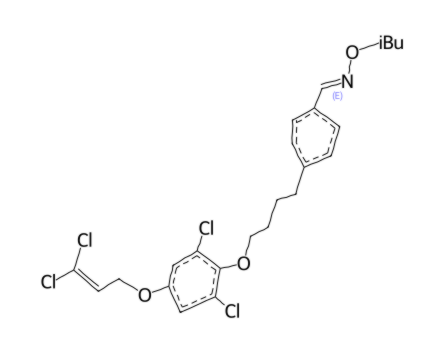 CCC(C)O/N=C/c1ccc(CCCCOc2c(Cl)cc(OCC=C(Cl)Cl)cc2Cl)cc1